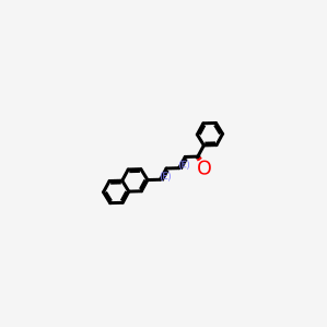 O=C(/C=C/C=C/c1ccc2ccccc2c1)c1ccccc1